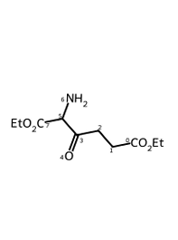 CCOC(=O)CCC(=O)C(N)C(=O)OCC